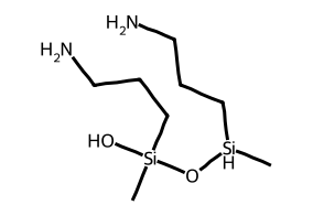 C[SiH](CCCN)O[Si](C)(O)CCCN